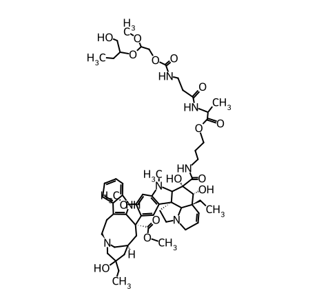 CCC(CO)OC(COC(=O)NCCC(=O)NC(C)C(=O)OCCCNC(=O)[C@]1(O)C2N(C)c3cc(OC)c([C@@]4(C(=O)OC)C[C@@H]5C[N@](CCc6c4[nH]c4ccccc64)CC(O)(CC)C5)cc3[C@@]23CCN2CC=C[C@](CC)(C23)[C@H]1O)OC